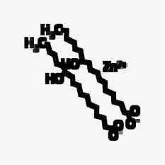 CCCCCCC(O)CCCCCCCCCCC(=O)[O-].CCCCCCC(O)CCCCCCCCCCC(=O)[O-].[Zn+2]